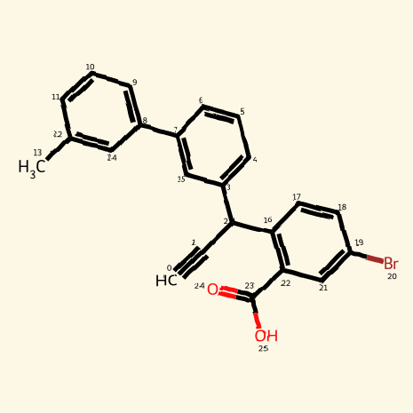 C#CC(c1cccc(-c2cccc(C)c2)c1)c1ccc(Br)cc1C(=O)O